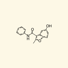 Cc1oc2ccc(O)cc2c1C(=O)Nc1ccccc1